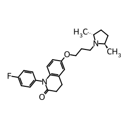 C[C@@H]1CC[C@@H](C)N1CCCOc1ccc2c(c1)CCC(=O)N2c1ccc(F)cc1